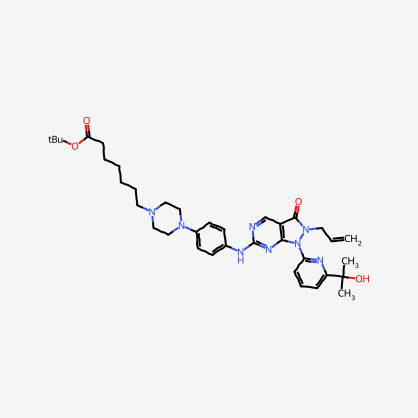 C=CCn1c(=O)c2cnc(Nc3ccc(N4CCN(CCCCCCC(=O)OC(C)(C)C)CC4)cc3)nc2n1-c1cccc(C(C)(C)O)n1